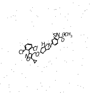 COC(=O)c1nsc2cc(N3CC4C[C@@H](OCc5c(-c6c(Cl)cccc6Cl)noc5C5CC5)C[C@@H]4C3)ccc12